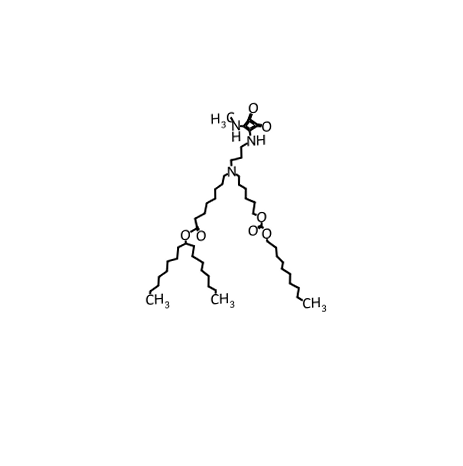 CCCCCCCCCCOC(=O)OCCCCCCN(CCCCCCCC(=O)OC(CCCCCCCC)CCCCCCCC)CCCNc1c(NC)c(=O)c1=O